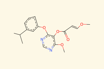 COC=CC(=O)Oc1c(OC)ncnc1Oc1cccc(C(C)C)c1